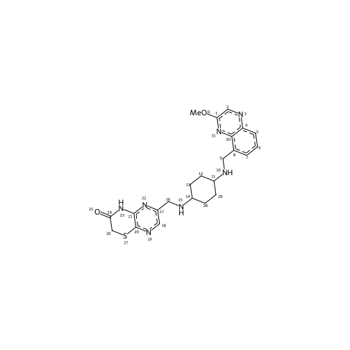 COc1cnc2cccc(CNC3CCC(NCc4cnc5c(n4)NC(=O)CS5)CC3)c2n1